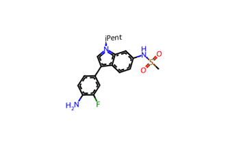 CCC[C@H](C)n1cc(-c2ccc(N)c(F)c2)c2ccc(NS(C)(=O)=O)cc21